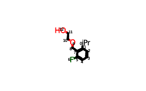 CC(C)c1cccc(F)c1COCCO